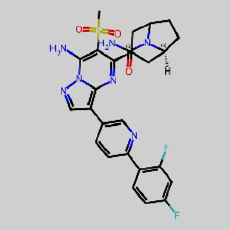 CS(=O)(=O)c1c([C@H]2CC3CC[C@@H](C2)N3C(N)=O)nc2c(-c3ccc(-c4ccc(F)cc4F)nc3)cnn2c1N